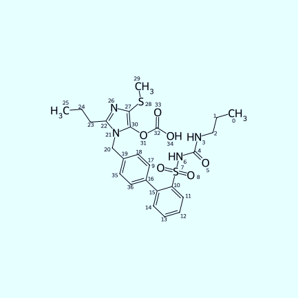 CCCNC(=O)NS(=O)(=O)c1ccccc1-c1ccc(Cn2c(CCC)nc(SC)c2OC(=O)O)cc1